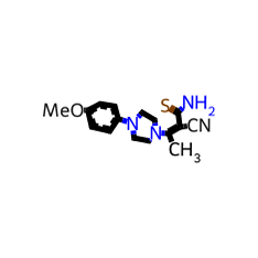 COc1ccc(N2CCN(C(C)=C(C#N)C(N)=S)CC2)cc1